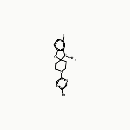 N[C@@H]1c2cc(F)ccc2OC12CCN(c1cnc(Br)cn1)CC2